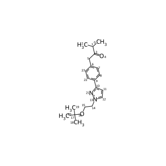 CC(C)C(=O)Cc1ccc(-c2ccn(CCOC(C)(C)C)n2)cc1